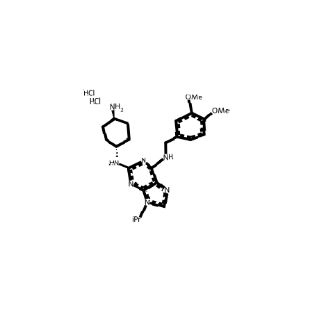 COc1ccc(CNc2nc(N[C@H]3CC[C@H](N)CC3)nc3c2ncn3C(C)C)cc1OC.Cl.Cl